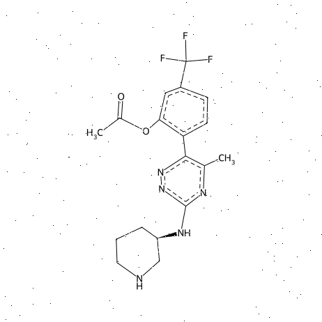 CC(=O)Oc1cc(C(F)(F)F)ccc1-c1nnc(N[C@@H]2CCCNC2)nc1C